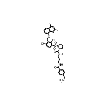 Cc1cc(C)c2cccc(OCc3c(Cl)ccc(S(=O)(=O)N4CCC[C@H]4C(=O)NCCCNC(=O)c4ccc(CN)cc4)c3Cl)c2n1